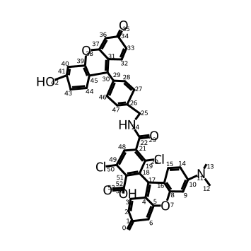 C=c1ccc2c(c1)Oc1cc(N(C)C)ccc1C=2c1c(Cl)c(C(=O)NCc2ccc(-c3c4ccc(=O)cc-4oc4cc(O)ccc34)cc2)cc(Cl)c1C(=O)O